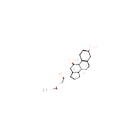 CC(=O)OCC(=O)[C@H]1CC[C@H]2[C@@H]3CCC4CC(O)CC[C@]4(C)[C@H]3C(=O)C[C@]12C